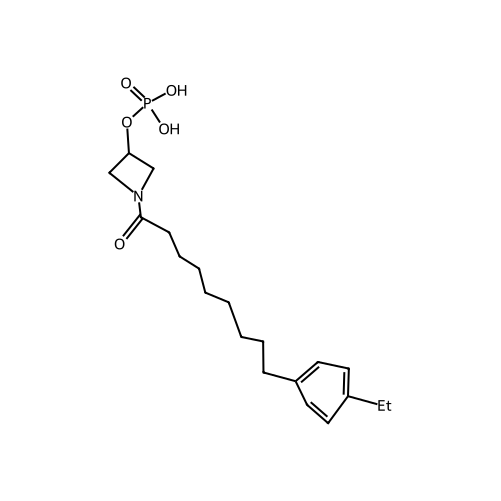 CCc1ccc(CCCCCCCCC(=O)N2CC(OP(=O)(O)O)C2)cc1